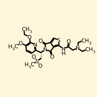 CCOc1nc([C@@H](CS(C)(=O)=O)N2C(=O)c3csc(NC(=O)CN(CC)CC)c3C2=O)ccc1OC